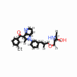 CCc1cccc(C(=O)c2c(C)n(-c3cccc(/C=C(\C)CO[C@@H](C)C4=C(O)C(C)N4)c3)c3cccnc23)c1